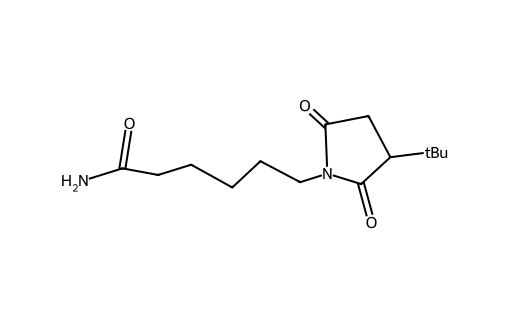 CC(C)(C)C1CC(=O)N(CCCCCC(N)=O)C1=O